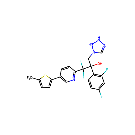 OC(CN1C=NNN1)(c1ccc(F)cc1F)C(F)(F)c1ccc(-c2ccc(C(F)(F)F)s2)cn1